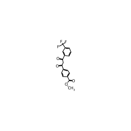 COC(=O)c1ccc(C(=O)CC(=O)c2cccc(C(F)(F)F)c2)cc1